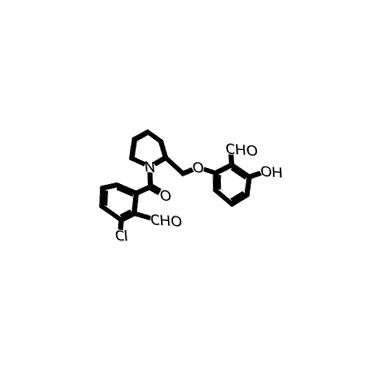 O=Cc1c(O)cccc1OCC1CCCCN1C(=O)c1cccc(Cl)c1C=O